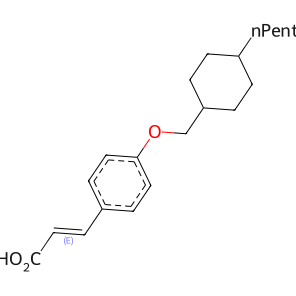 CCCCCC1CCC(COc2ccc(/C=C/C(=O)O)cc2)CC1